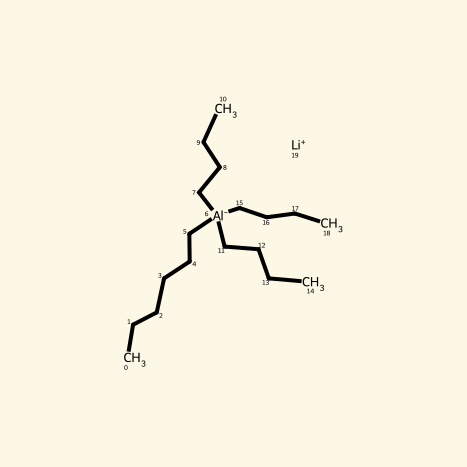 CCCCC[CH2][Al-]([CH2]CCC)([CH2]CCC)[CH2]CCC.[Li+]